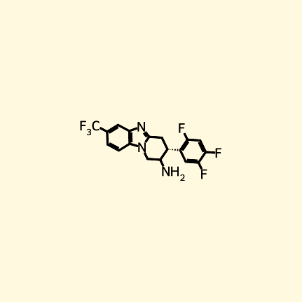 NC1Cn2c(nc3cc(C(F)(F)F)ccc32)C[C@@H]1c1cc(F)c(F)cc1F